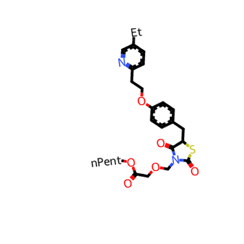 CCCCCOC(=O)COCN1C(=O)SC(Cc2ccc(OCCc3ccc(CC)cn3)cc2)C1=O